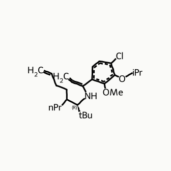 C=C=C(N[C@H](C(CCC)CCC=C)C(C)(C)C)c1ccc(Cl)c(OC(C)C)c1OC